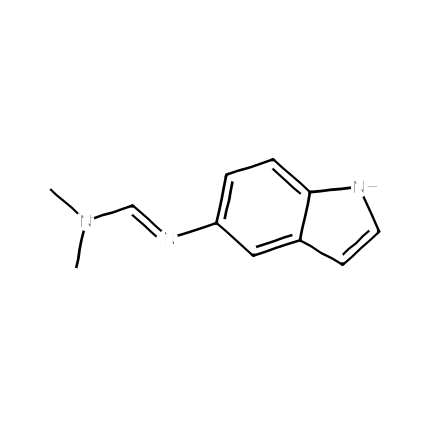 CN(C)C=Nc1ccc2[nH]ccc2c1